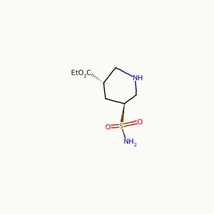 CCOC(=O)[C@@H]1CNC[C@@H](S(N)(=O)=O)C1